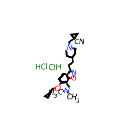 CN(C)Cc1c(OCC2CC2)ccc2c(CCC3CCN(CC4(C#N)CC4)CC3)noc12.Cl.Cl